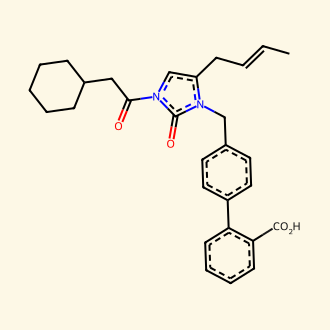 C/C=C/Cc1cn(C(=O)CC2CCCCC2)c(=O)n1Cc1ccc(-c2ccccc2C(=O)O)cc1